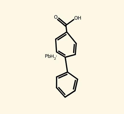 O=C(O)c1ccc(-c2ccccc2)cc1.[PbH2]